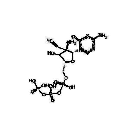 C#C[C@@]1(N)C(O)[C@@H](COP(=O)(O)OP(=O)(O)OP(=O)(O)O)O[C@H]1n1cnc(N)nc1=O